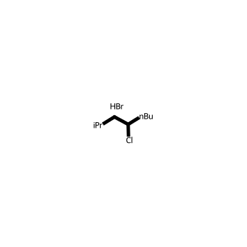 Br.CCCCC(Cl)CC(C)C